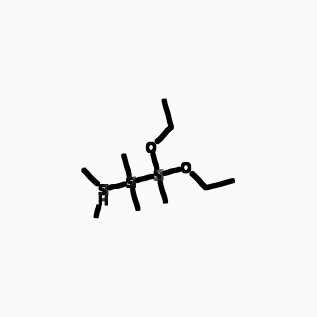 CCO[Si](C)(OCC)[Si](C)(C)[SiH](C)C